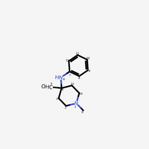 CN1CCC(C=O)(Nc2ccccc2)CC1